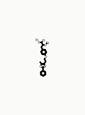 CCOC(CC)C(Cc1ccc(OCCc2nc(-c3ccccc3)oc2C)cc1)OCC